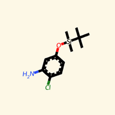 CC(C)(C)[Si](C)(C)Oc1ccc(Cl)c(N)c1